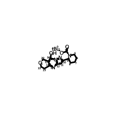 CC(C)(C)OC(=O)N1CCCCC1c1cc2nc3c(c(O)n2n1)COCC3